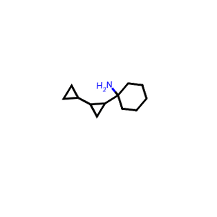 NC1(C2CC2C2CC2)CCCCC1